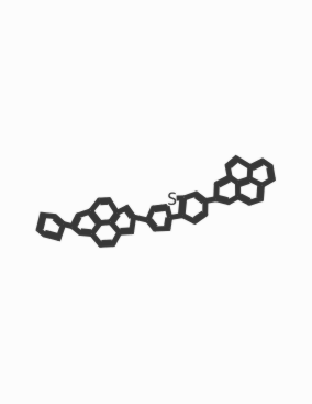 c1ccc(-c2cc3ccc4cc(-c5ccc6c(c5)sc5cc(-c7cc8ccc9cccc%10ccc(c7)c8c9%10)ccc56)cc5ccc(c2)c3c45)cc1